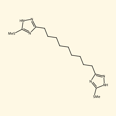 CSc1nc(CCCCCCCCCc2n[nH]c(SC)n2)n[nH]1